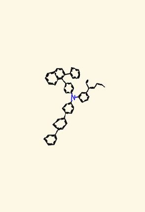 C=C/C(=C\C=C/C)c1cccc(N(c2ccc(-c3ccc(-c4ccccc4)cc3)cc2)c2ccc(-c3c(-c4ccccc4)ccc4ccccc34)cc2)c1